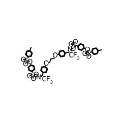 Cc1ccc(S(=O)(=O)Oc2ccc(S(=O)(=O)ON=C(c3ccc(OCCCOc4ccc(C(=NOS(=O)(=O)c5ccc(OS(=O)(=O)c6ccc(C)cc6)cc5)C(F)(F)F)cc4)cc3)C(F)(F)F)cc2)cc1